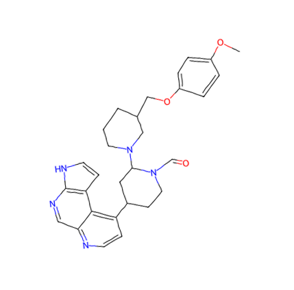 COc1ccc(OCC2CCCN(C3CC(c4ccnc5cnc6[nH]ccc6c45)CCN3C=O)C2)cc1